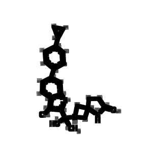 CC(O)(c1sc2cc(-c3ccc(C4CC4)cc3)ccc2c1Cl)N1CC2(CCC(=O)N2)C1